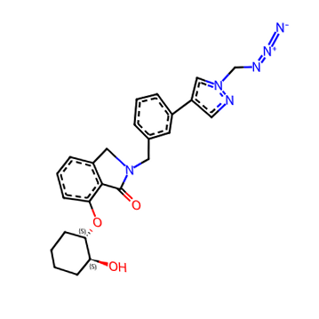 [N-]=[N+]=NCn1cc(-c2cccc(CN3Cc4cccc(O[C@H]5CCCC[C@@H]5O)c4C3=O)c2)cn1